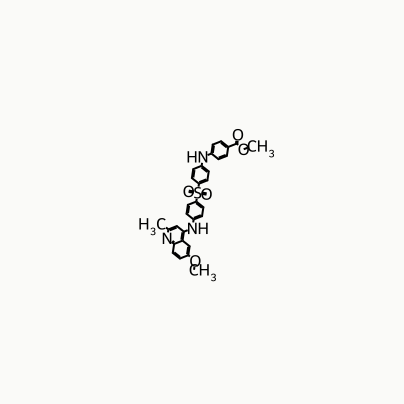 COC(=O)c1ccc(Nc2ccc(S(=O)(=O)c3ccc(Nc4cc(C)nc5ccc(OC)cc45)cc3)cc2)cc1